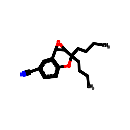 CCCCC1(CCCC)Oc2ccc(C#N)cc2C2OC21